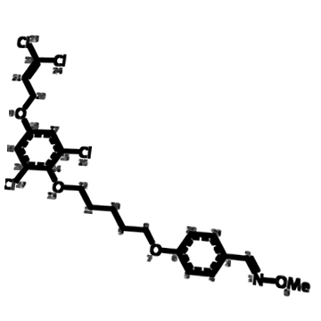 CO/N=C/c1ccc(OCCCCCOc2c(Cl)cc(OCC=C(Cl)Cl)cc2Cl)cc1